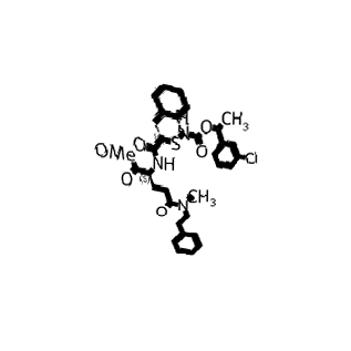 COC(=O)[C@H](CCC(=O)N(C)CCc1ccccc1)NC(=O)[C@H](CC1CCCCC1)SNC(=O)OC(C)c1cccc(Cl)c1